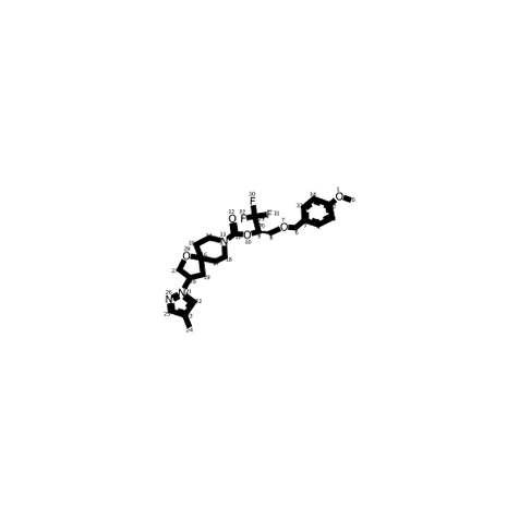 COc1ccc(COC[C@@H](OC(=O)N2CCC3(CC2)CC(n2cc(C)cn2)CO3)C(F)(F)F)cc1